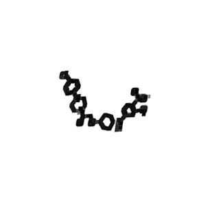 COc1cc(N[C@H]2CC[C@H](OCC(=O)N3CCN(c4ccc(Cl)cc4)CC3)CC2)ccc1[N+](=O)[O-]